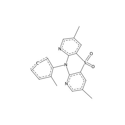 Cc1cnc2c(c1)S(=O)(=O)c1cc(C)cnc1N2c1ccccc1C